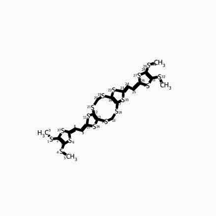 CSC1=C(SC)SC(=CC=C2SC3=C(SCSC4=C(SCS3)SC(=CC=C3SC(SC)=C(SC)S3)S4)S2)S1